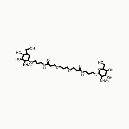 CC(=O)NC1[C@H](OCCCNC(=O)CCOCCCOCCC(=O)NCCCO[C@@H]2CC(CO)[C@H](O)[C@H](O)C2NC(C)=O)OC(CO)[C@H](O)[C@@H]1O